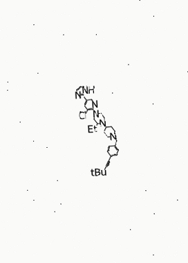 CC[C@H]1CN(c2ncc(-c3ncc[nH]3)cc2Cl)CCN1C1CCN(Cc2ccc(C#CC(C)(C)C)cc2)CC1